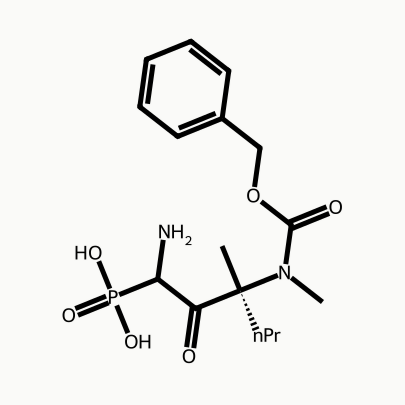 CCC[C@@](C)(C(=O)C(N)P(=O)(O)O)N(C)C(=O)OCc1ccccc1